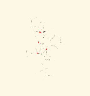 CC(C)S(=O)(=O)NC(=O)c1ccc(NC(=O)N2C3CCC2CC(OCc2c(-c4ccccc4OC(F)(F)F)noc2C2CC2)C3)cc1